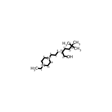 CCN1CCN(CCC[C@@H](CO)CCC(C)(C)C)CC1